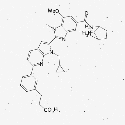 COc1cc(C(=O)N2CC3CCC2[C@@H]3N)cc2nc(-c3cc4ccc(-c5cccc(CCC(=O)O)c5)nc4n3CC3CC3)n(C)c12